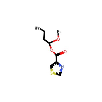 CCOC(CCC(C)C)OC(=O)c1cscn1